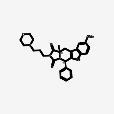 COc1ccc2[nH]c3c(c2c1)C[C@@]1(C)C(=O)N(CCCN2CCOCC2)C(=O)N1[C@@H]3c1ccccc1